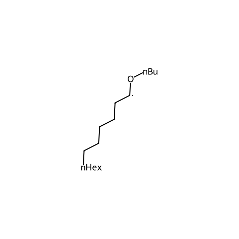 CCCCCCCCCCC[CH]OCCCC